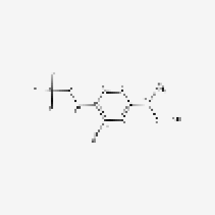 CC(C)(C)COc1ccc(C(N)CS)cc1F